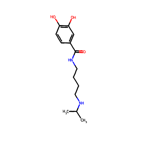 CC(C)NCCCCNC(=O)c1ccc(O)c(O)c1